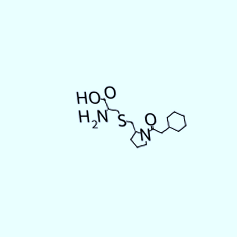 N[C@@H](CSC[C@@H]1CCCN1C(=O)CC1CCCCC1)C(=O)O